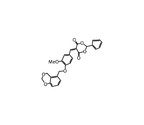 COc1cc(C=C2C(=O)OC(c3ccccc3)OC2=O)ccc1OCc1cccc2c1COCO2